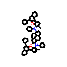 Cc1ccc2c(oc3c(-c4ccccc4)cc4ccccc4c32)c1N(c1ccccc1)c1ccc2ccc3c(N(c4ccccc4)c4c(C)ccc5c4oc4c(-c6ccccc6)cc6ccccc6c45)ccc4ccc1c2c43